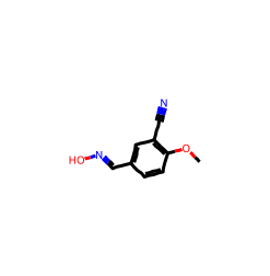 COc1ccc(C=NO)cc1C#N